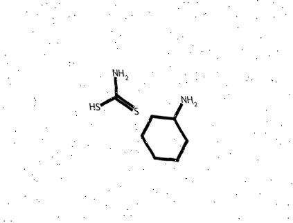 NC(=S)S.NC1CCCCC1